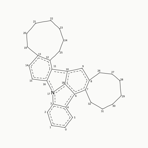 c1ccc2c(c1)c1c3c(cc4c5c6c(ccc5n2c41)CCCCCCC6)CCCCCCC3